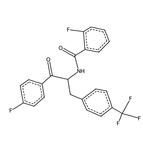 O=C(NC(Cc1ccc(C(F)(F)F)cc1)C(=O)c1ccc(F)cc1)c1ccccc1F